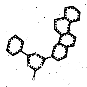 Clc1nc(-c2ccccc2)nc(-c2ccc3ccc4c5ccccc5ccc4c3c2)n1